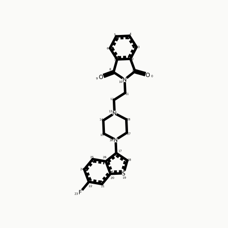 O=C1c2ccccc2C(=O)N1CCN1CCN(c2csc3cc(F)ccc23)CC1